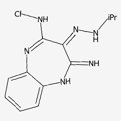 CC(C)N/N=c1/c(NCl)nc2ccccc2[nH]c1=N